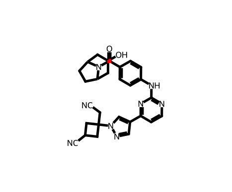 N#CCC1(n2cc(-c3ccnc(Nc4ccc(C(=O)N5C6CCC5CC(O)C6)cc4)n3)cn2)CC(C#N)C1